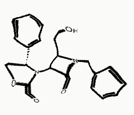 O=C1C(N2C(=O)OC[C@@H]2c2ccccc2)C(CO)N1Cc1ccccc1